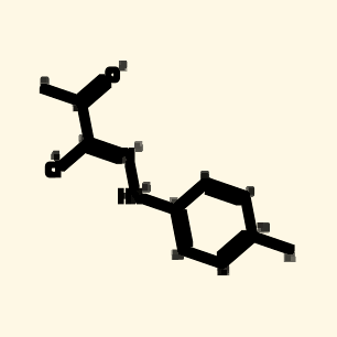 CC(=O)C(Cl)=NNc1ccc(C)cc1